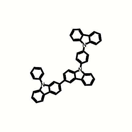 c1ccc(-n2c3ccccc3c3ccc(-c4ccc5c(c4)c4ccccc4n5-c4ccc(-n5c6ccccc6c6ccccc65)cc4)cc32)cc1